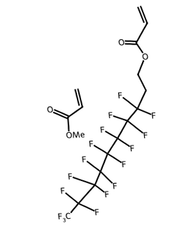 C=CC(=O)OC.C=CC(=O)OCCC(F)(F)C(F)(F)C(F)(F)C(F)(F)C(F)(F)C(F)(F)C(F)(F)C(F)(F)F